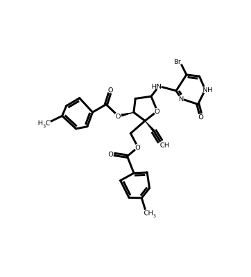 C#C[C@]1(COC(=O)c2ccc(C)cc2)OC(Nc2nc(=O)[nH]cc2Br)C[C@@H]1OC(=O)c1ccc(C)cc1